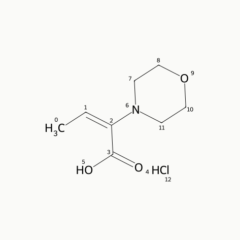 CC=C(C(=O)O)N1CCOCC1.Cl